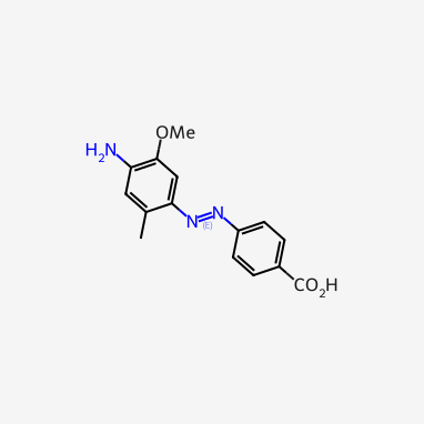 COc1cc(/N=N/c2ccc(C(=O)O)cc2)c(C)cc1N